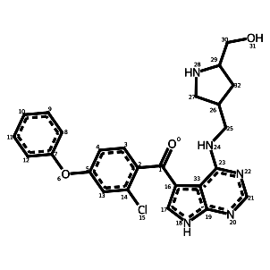 O=C(c1ccc(Oc2ccccc2)cc1Cl)c1c[nH]c2ncnc(NCC3CNC(CO)C3)c12